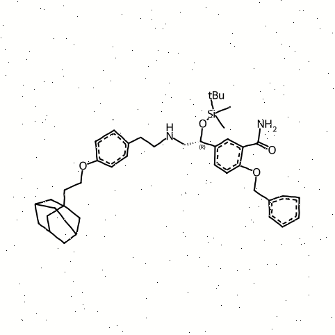 CC(C)(C)[Si](C)(C)O[C@@H](CNCCc1ccc(OCCC23CC4CC(CC(C4)C2)C3)cc1)c1ccc(OCc2ccccc2)c(C(N)=O)c1